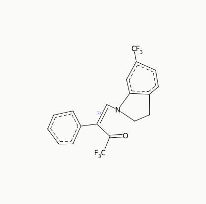 O=C(/C(=C\N1CCc2ccc(C(F)(F)F)cc21)c1ccccc1)C(F)(F)F